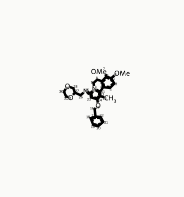 COc1ccc2c(c1OC)CCn1c-2c(C)c(OCc2ccccc2)cc1=NCC1COCCO1